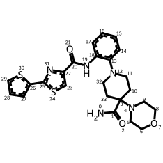 NC(=O)C1(N2CCOCC2)CCN(c2ccccc2NC(=O)c2csc(-c3cccs3)n2)CC1